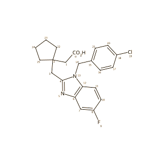 O=C(O)CC1(Cc2nc3cc(F)ccc3n2Cc2ccc(Cl)cc2)CCCC1